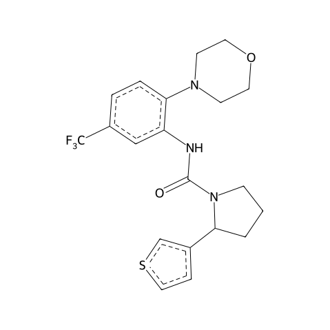 O=C(Nc1cc(C(F)(F)F)ccc1N1CCOCC1)N1CCCC1c1ccsc1